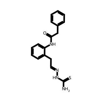 NC(=S)N/N=C/Cc1ccccc1NC(=O)Cc1ccccc1